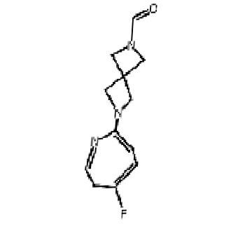 O=CN1CC2(C1)CN(C1=CC=C(F)CC=N1)C2